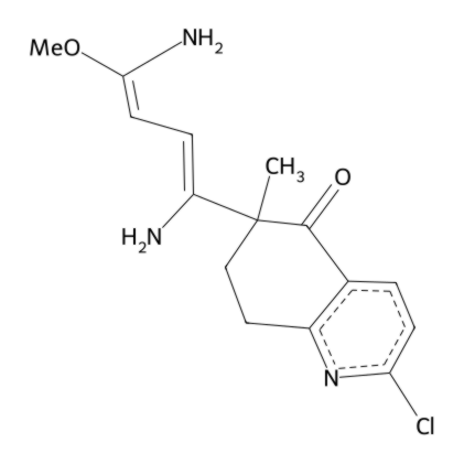 CO/C(N)=C/C=C(\N)C1(C)CCc2nc(Cl)ccc2C1=O